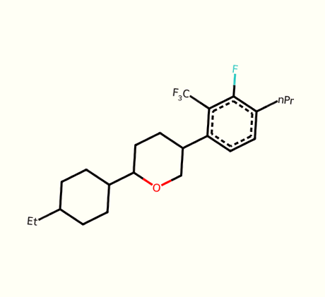 CCCc1ccc(C2CCC(C3CCC(CC)CC3)OC2)c(C(F)(F)F)c1F